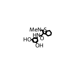 CNc1sc2c(c1C(=O)Nc1cc(O)cc(O)c1)CCCC2